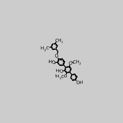 COc1cc(-c2ccc(O)cc2)c(OC)c(O)c1-c1ccc(OCc2cc(C)cc(C)c2)c(O)c1